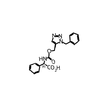 O=C(N[C@@H](C(=O)O)c1ccccc1)OCc1cnnn1Cc1ccccc1